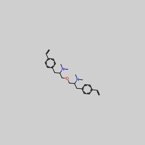 C=Cc1ccc(CC(COCC(Cc2ccc(C=C)cc2)N(C)C)N(C)C)cc1